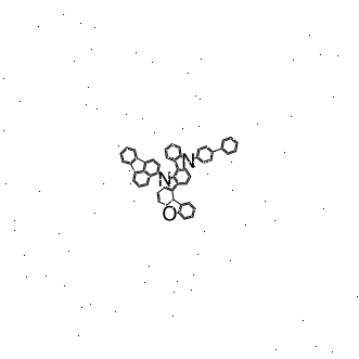 C1=CC2Oc3ccccc3C2c2c1n(-c1ccc3c4c(cccc14)-c1ccccc1-3)c1c2ccc2c1c1ccccc1n2-c1ccc(-c2ccccc2)cc1